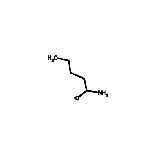 CCCCC(N)[O]